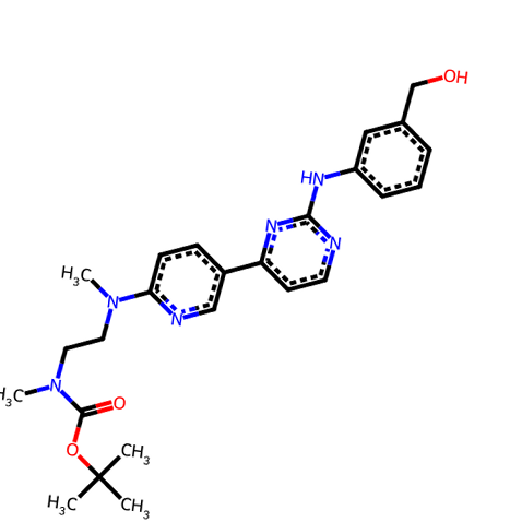 CN(CCN(C)c1ccc(-c2ccnc(Nc3cccc(CO)c3)n2)cn1)C(=O)OC(C)(C)C